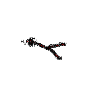 CC(=O)CN1CCN(CC(C)=O)CCN(CC(=O)CCCOCCOCCOCCOCCOCCOCCOCCn2cc(CN(CCC(=O)CCCOCCOCCOCCOCCC(=O)CCCC[n+]3ccccc3)CCC(=O)CCCOCCOCCOCCOCCC(=O)CCCC[n+]3ccccc3)nn2)CCN(CC(=O)O)CC1